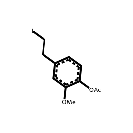 COc1cc(CCI)ccc1OC(C)=O